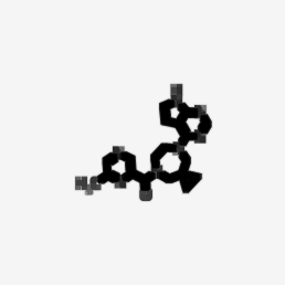 Cc1cncc(C(=O)N2CCN(c3ncnc4[nH]ccc34)CC3(CC3)C2)n1